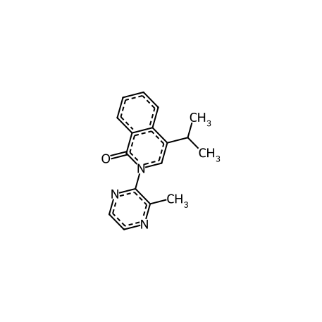 Cc1nccnc1-n1cc(C(C)C)c2ccccc2c1=O